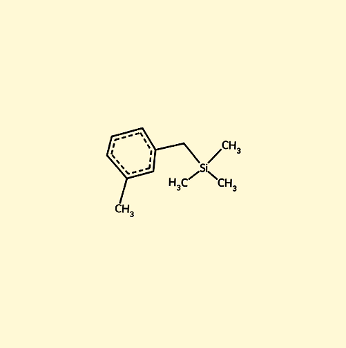 Cc1cccc(C[Si](C)(C)C)c1